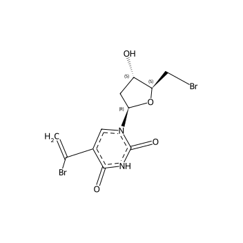 C=C(Br)c1cn([C@H]2C[C@H](O)[C@@H](CBr)O2)c(=O)[nH]c1=O